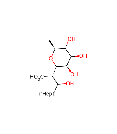 CCCCCCCC(O)C(C(=O)O)[C@@H]1O[C@@H](C)[C@H](O)[C@@H](O)[C@H]1O